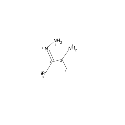 CC(C)/C(=N/N)C(C)N